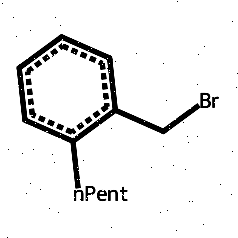 CCCCCc1ccccc1CBr